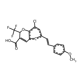 COc1ccc(C=Cc2cc(Cl)c3c(c2)C=C(C(=O)O)C(C(F)(F)F)O3)cc1